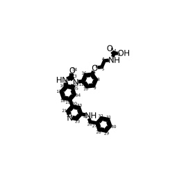 O=C(O)NCCOc1cccc(-n2c(=O)[nH]c3ccc(-c4cncc(NCc5ccccc5)c4)cc32)c1